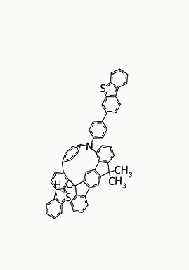 CC1(C)c2cc3c4cc2-c2c(cccc21)N(c1ccc(-c2ccc5c(c2)sc2ccccc25)cc1)c1ccc(cc1)-c1ccc2c(sc5ccccc52)c1C4(C)c1ccccc1-3